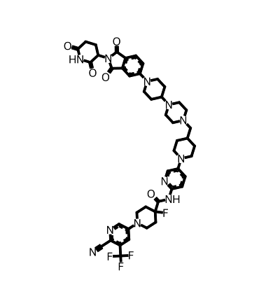 N#Cc1ncc(N2CCC(F)(C(=O)Nc3ccc(N4CCC(CN5CCN(C6CCN(c7ccc8c(c7)C(=O)N(C7CCC(=O)NC7=O)C8=O)CC6)CC5)CC4)cn3)CC2)cc1C(F)(F)F